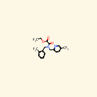 O=C(OCC(F)(F)F)C(=O)N(Cc1ccc(C(F)(F)F)cn1)Cc1ccccc1C(F)(F)F